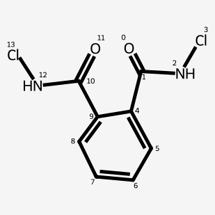 O=C(NCl)c1ccccc1C(=O)NCl